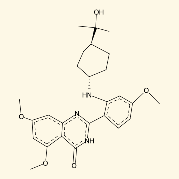 COc1ccc(-c2nc3cc(OC)cc(OC)c3c(=O)[nH]2)c(N[C@H]2CC[C@H](C(C)(C)O)CC2)c1